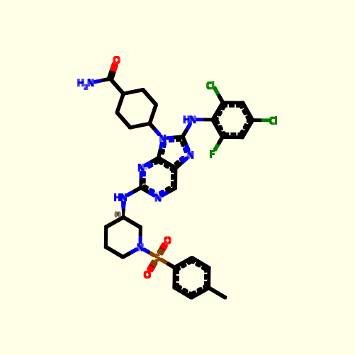 Cc1ccc(S(=O)(=O)N2CCC[C@@H](Nc3ncc4nc(Nc5c(F)cc(Cl)cc5Cl)n(C5CCC(C(N)=O)CC5)c4n3)C2)cc1